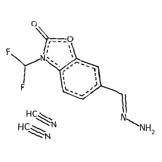 C#N.C#N.NN=Cc1ccc2c(c1)oc(=O)n2C(F)F